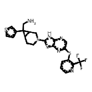 NCC1(c2ccsc2)C2CCN(c3nc4nc(Sc5cccnc5C(F)(F)F)cnc4[nH]3)CC21